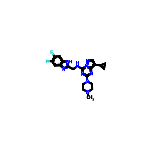 CN1CCN(c2nc(NCc3nc4cc(F)c(F)cc4[nH]3)n3ncc(C4CC4)c3n2)CC1